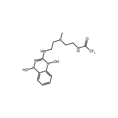 CN(CCNC(=O)C(F)(F)F)CCNC1=NN(O)c2ccccc2N1O